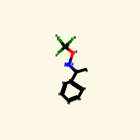 CC(NOC(F)(F)F)c1ccccc1